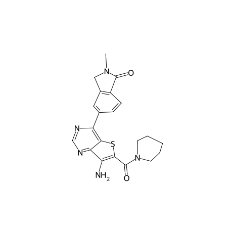 CN1Cc2cc(-c3ncnc4c(N)c(C(=O)N5CCCCC5)sc34)ccc2C1=O